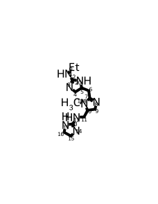 CCNC1=NCC(CC2=NCC(CNC3=NCCN3)N2C)N1